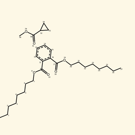 CCCCCCCCOC(=O)c1ccccc1C(=O)OCCCCCCCC.COC(=O)C1CC1